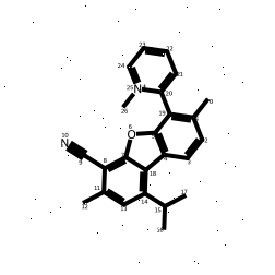 Cc1ccc2c(oc3c(C#N)c(C)cc(C(C)C)c32)c1-c1cccc[n+]1C